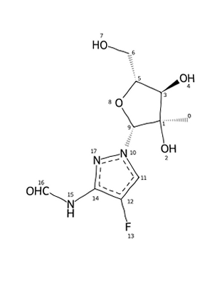 C[C@@]1(O)[C@H](O)[C@@H](CO)O[C@H]1n1cc(F)c(NC=O)n1